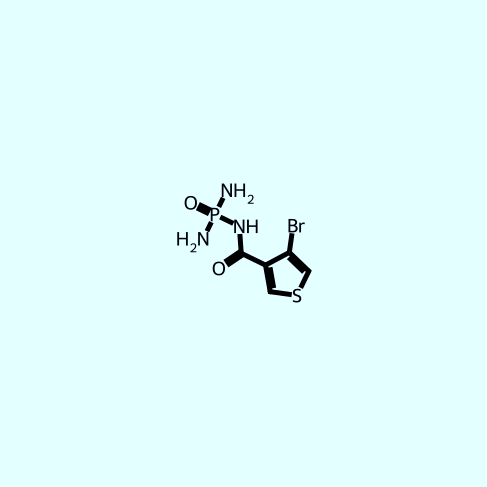 NP(N)(=O)NC(=O)c1cscc1Br